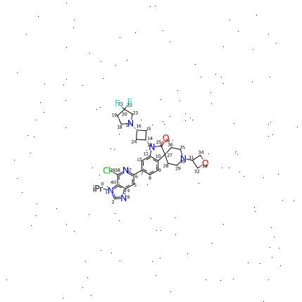 CC(C)n1cnc2cc(-c3ccc4c(c3)N([C@H]3C[C@@H](N5CCC(F)(F)C5)C3)C(=O)C43CCN(C4COC4)CC3)nc(Cl)c21